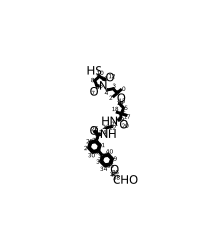 CC(C)(CCN1C(=O)CC(S)C1=O)OCCC(C)(C)C(=O)NCCNC(=O)c1cccc(-c2ccc(OCC=O)cc2)c1